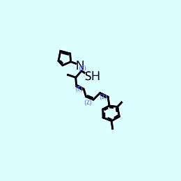 Cc1ccc(\C=C/C=C\C=C\C(C)/C(S)=N\C2C=CC=C2)c(C)c1